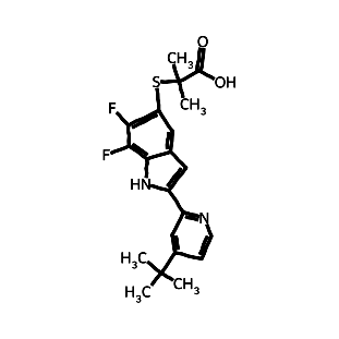 CC(C)(Sc1cc2cc(-c3cc(C(C)(C)C)ccn3)[nH]c2c(F)c1F)C(=O)O